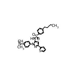 CCCCc1ccc(S(=O)(=O)Nc2cc(-c3cccs3)nn2-c2ccc(N(C)C)cc2)cc1